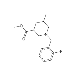 COC(=O)C1CC(C)CN(Cc2ccccc2F)C1